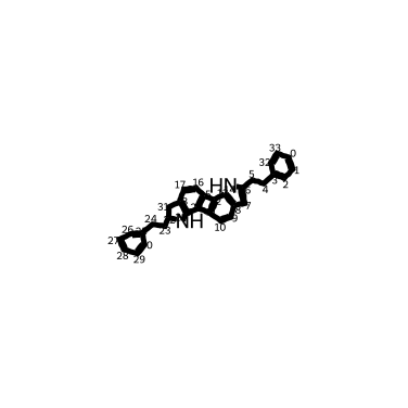 c1ccc(CCc2cc3ccc4c(c3[nH]2)-c2ccc3c(c2-4)NC(CCc2ccccc2)C3)cc1